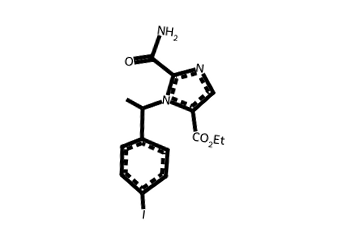 CCOC(=O)c1cnc(C(N)=O)n1C(C)c1ccc(I)cc1